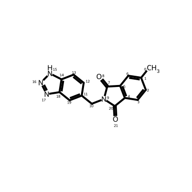 Cc1ccc2c(c1)C(=O)N(Cc1ccc3[nH]nnc3c1)C2=O